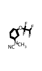 CN(C#N)c1cccc(OC(F)(F)C(F)F)c1